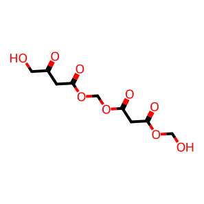 O=C(CO)CC(=O)OCOC(=O)CC(=O)OCO